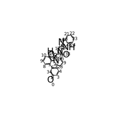 COc1cccc(-c2ccccc2[N+]2(C(=O)CCc3nc4ccccc4[nH]3)CCC[C@H]2C(N)=O)c1